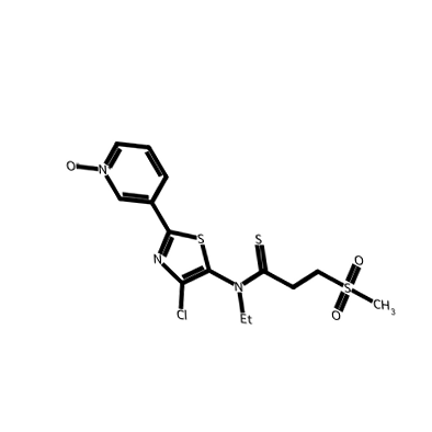 CCN(C(=S)CCS(C)(=O)=O)c1sc(-c2ccc[n+]([O-])c2)nc1Cl